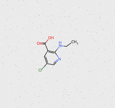 CCNc1ncc(Cl)cc1C(=O)O